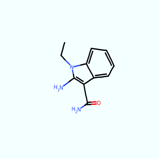 CCn1c(N)c(C(N)=O)c2ccccc21